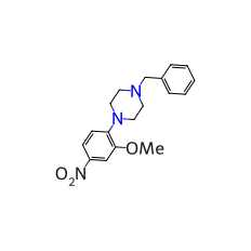 COc1cc([N+](=O)[O-])ccc1N1CCN(Cc2ccccc2)CC1